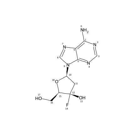 Nc1ncnc2c1ncn2[C@H]1C[C@](O)(F)[C@@H](CO)O1